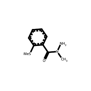 CSc1ccccc1C(=O)N(C)N